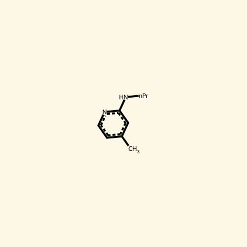 CCCNc1cc(C)ccn1